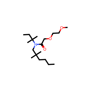 CCCCC(C)(C)CN(C(=O)COCCOC)C(C)(C)CC